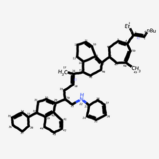 CCCC/C=C(\CC)C1=CCC(C2=C3C=CCCC3C(/C(C)=C/CC(CNC3C=CC=CC3)C3=CCC(C4C=CCCC4)C4=C3C=CCC4)CC2)CC(C)=C1